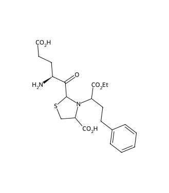 CCOC(=O)C(CCc1ccccc1)N1C(C(=O)O)CSC1C(=O)[C@@H](N)CCC(=O)O